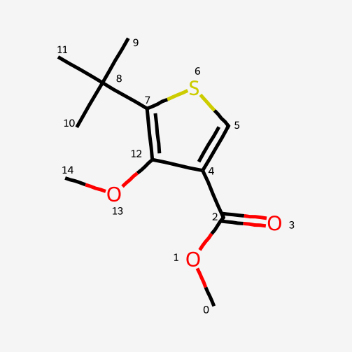 COC(=O)c1csc(C(C)(C)C)c1OC